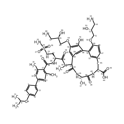 Cc1nc(-c2ccc(OC(C)C)cc2)nc(C)c1C(=O)N[C@@H](CNS(N)(=O)=O)C(=O)N(C)C1C(=O)N[C@@H](C)C(=O)N[C@H](C(=O)O)Cc2ccc(OC[C@H](O)CN)c(c2)-c2cc1cc(OC[C@H](O)CN)c2O